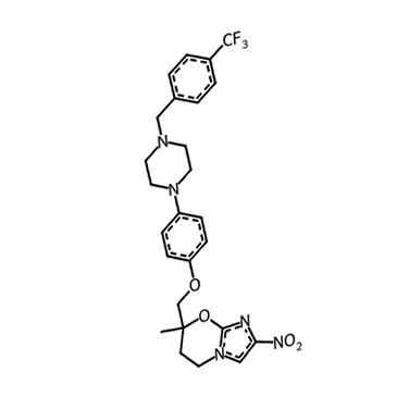 CC1(COc2ccc(N3CCN(Cc4ccc(C(F)(F)F)cc4)CC3)cc2)CCn2cc([N+](=O)[O-])nc2O1